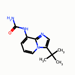 CC(C)(C)c1cnc2c(NC(N)=O)cccn12